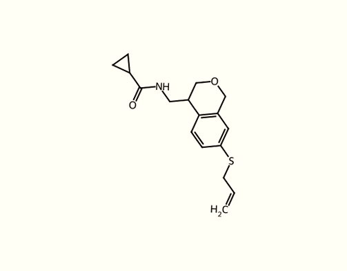 C=CCSc1ccc2c(c1)COCC2CNC(=O)C1CC1